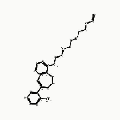 C=COCCOCCSCCOc1cccc2c1CCCC(c1ccccc1C(F)(F)F)=C2